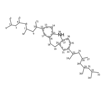 CC(C)CC(C)CC(C)CC(C)c1ccc2c(c1)CCc1cc(C(C)CC(C)CC(C)CC(C)C)ccc1N2